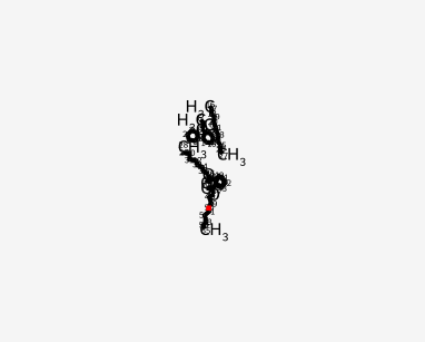 C1CCCCC1.CC(=O)OC1CCCCC1.CCCCCCCCCCCC.CCCCCCCCOC(=O)c1ccccc1C(=O)OCCCCCCCC